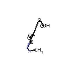 CCCCC/C=C\C\C=C/C=C/C=C/[C@@H]1O[C@H]1CCC(CCCCCC=CCC=CC=CC=CC1OC1CCCC(=O)O)C(=O)O